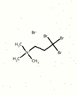 C[N+](C)(C)CCC(Br)(Br)Br.[Br-]